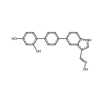 O/N=C/c1c[nH]c2ccc(-c3ccc(-c4ccc(O)cc4O)cc3)cc12